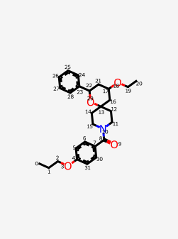 CCCOc1ccc(C(=O)N2CCC3(CC2)CC(OCC)CC(c2ccccc2)O3)cc1